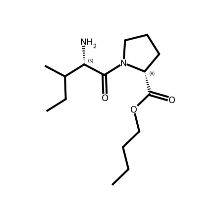 CCCCOC(=O)[C@H]1CCCN1C(=O)[C@@H](N)C(C)CC